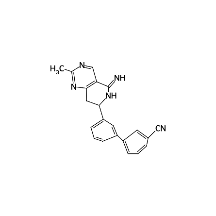 Cc1ncc2c(n1)CC(c1cccc(-c3cccc(C#N)c3)c1)NC2=N